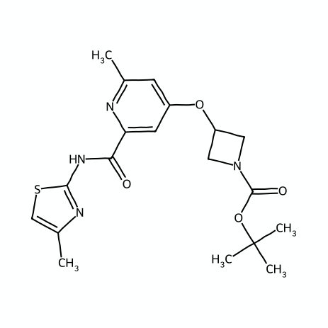 Cc1cc(OC2CN(C(=O)OC(C)(C)C)C2)cc(C(=O)Nc2nc(C)cs2)n1